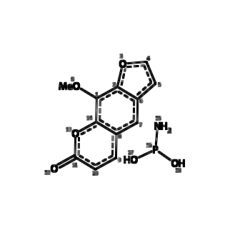 COc1c2occc2cc2ccc(=O)oc12.NP(O)O